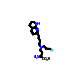 NC(CCN(CCCF)CCCCc1ccc2c(n1)NCCC2)C(=O)O